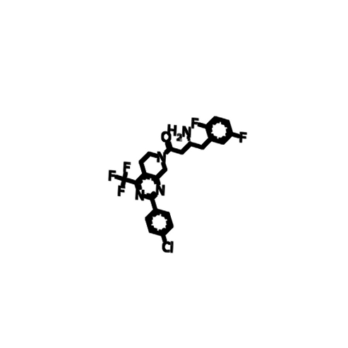 N[C@@H](CC(=O)N1CCc2c(nc(-c3ccc(Cl)cc3)nc2C(F)(F)F)C1)Cc1cc(F)ccc1F